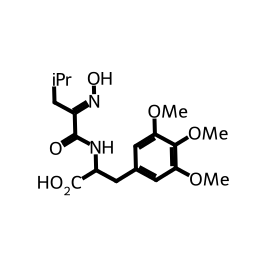 COc1cc(CC(NC(=O)C(CC(C)C)=NO)C(=O)O)cc(OC)c1OC